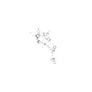 CCCC[C@H](NC(=O)[C@@H]1CC(F)(F)CN1C(=O)[C@H](C)NC(=O)Cn1cc(CNC(=O)CCCCC[N+]2=C(/C=C/C=C/C=C3/N(C)c4ccccc4C3(C)C)C(C)(C)c3ccccc32)nn1)C(=O)N[C@@H](CC1CCCCC1)C(=O)[C@@]1(C)CO1